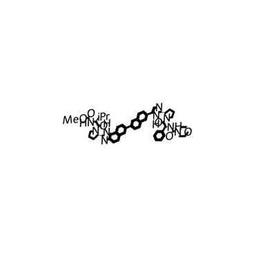 COC(=O)N[C@H](C(=O)N1CCC[C@H]1c1nc2ccc3cc(-c4ccc5cc(-c6cnc([C@@H]7CCCN7C(=O)[C@H](NC(=O)N7CCOCC7)c7ccccc7)[nH]6)ccc5c4)ccc3c2[nH]1)C(C)C